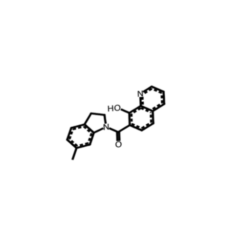 Cc1ccc2c(c1)N(C(=O)c1ccc3cccnc3c1O)CC2